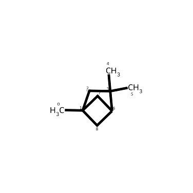 CC12[CH]C(C)(C)C(C1)C2